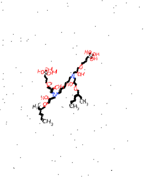 CCCCC(CC)COCC(O)CN(CCCCCCN(CC(O)COCCC[Si](O)(O)O)CC(O)COCC(CC)CCCC)CC(O)COCCC[Si](O)(O)O